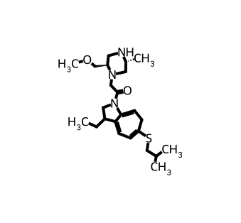 CCC1CN(C(=O)CN2C[C@@H](C)NC[C@@H]2COC)C2=CCC(SCC(C)C)=CC=C21